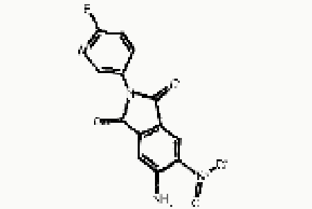 Nc1cc2c(cc1[N+](=O)[O-])C(=O)N(c1ccc(F)nc1)C2=O